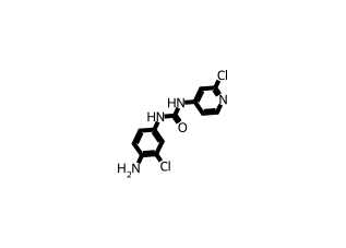 Nc1ccc(NC(=O)Nc2ccnc(Cl)c2)cc1Cl